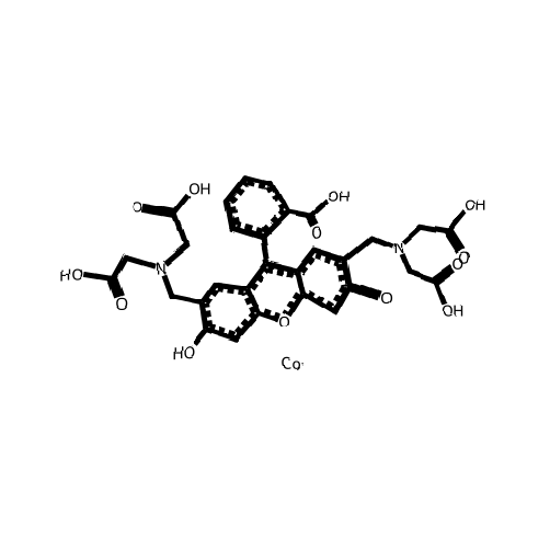 O=C(O)CN(CC(=O)O)Cc1cc2c(-c3ccccc3C(=O)O)c3cc(CN(CC(=O)O)CC(=O)O)c(=O)cc-3oc2cc1O.[Co]